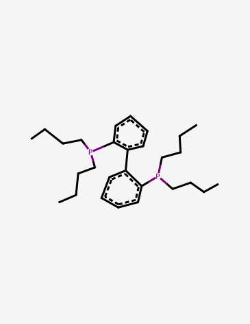 CCCCP(CCCC)c1ccccc1-c1ccccc1P(CCCC)CCCC